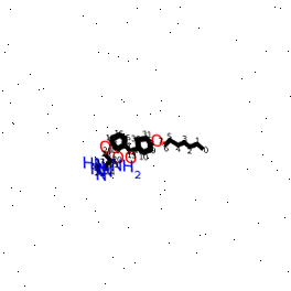 CCCCCCCOc1ccc(C(=O)c2cccc3c2OC(N)(c2nnn[nH]2)CO3)cc1